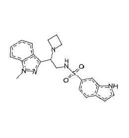 Cn1nc(C(CNS(=O)(=O)c2ccc3cc[nH]c3c2)N2CCC2)c2ccccc21